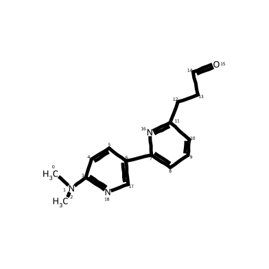 CN(C)c1ccc(-c2cccc(CCC=O)n2)cn1